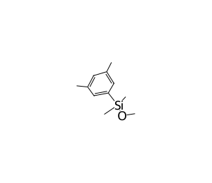 CO[Si](C)(C)c1cc(C)cc(C)c1